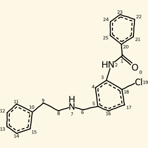 O=C(Nc1cc(CNCCc2ccccc2)ccc1Cl)c1ccccc1